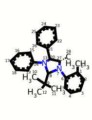 Cc1ccccc1N1C(C(C)(C)C)N(c2ccccc2)C(c2ccccc2)[C@@H]1C